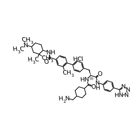 Cc1cc(C(=O)NC2CCC(N(C)C)CC2(C)C)ccc1-c1ccc(C[C@H](NC(=O)C2CCC(CN)CC2)C(=O)Nc2ccc(-c3nnn[nH]3)cc2)cc1.Cl